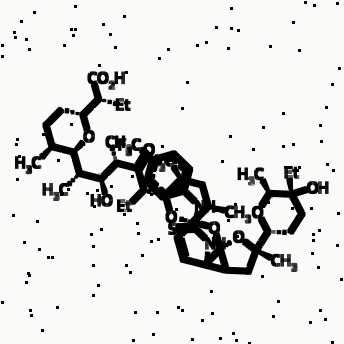 CCC(C(=O)[C@@H](C)[C@@H](O)[C@H](C)[C@@H]1O[C@@H]([C@@H](CC)C(=O)O)CC[C@@H]1C)[C@H]1O[C@]2(C=C[C@]3(NC(=S)Nc4ccc(C(F)(F)F)cc4)C4C[C@@](C)([C@H]5CC[C@](O)(CC)[C@H](C)O5)O[C@]43O2)[C@H](C)C[C@@H]1C